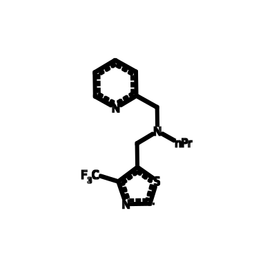 CCCN(Cc1ccccn1)Cc1s[c]nc1C(F)(F)F